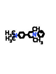 Cc1cc(-c2ccc(N(C)C)cc2)cc(C)[n+]1-c1ccccc1